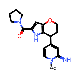 CC(=O)n1ccc(C2CCOc3cc(C(=O)N4CCCC4)[nH]c32)cc1=N